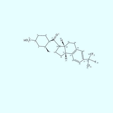 C[C@H]1CC(C(=O)O)CC[C@H]1C(=O)N1CC[C@H]2c3ccc(C(F)(C(F)(F)F)C(F)(F)F)cc3CC[C@H]21